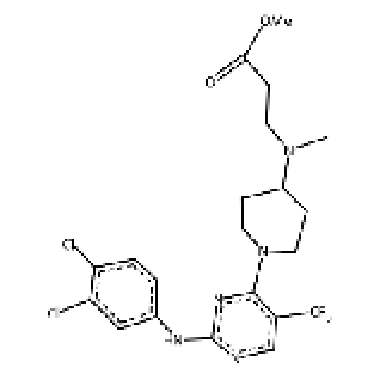 COC(=O)CCN(C)C1CCN(c2nc(Nc3ccc(Cl)c(Cl)c3)ncc2C(F)(F)F)CC1